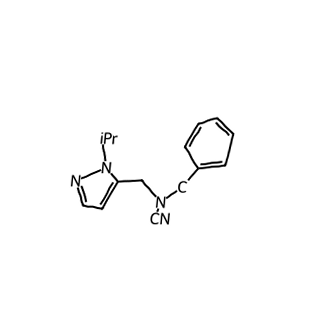 CC(C)n1nccc1CN(C#N)Cc1ccccc1